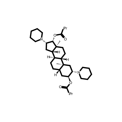 CC(C)C(=O)O[C@H]1C[C@@H]2CC[C@@H]3[C@H](CC[C@@]4(C)[C@H]3C[C@H](N3CCCCC3)[C@@H]4OC(=O)C(C)C)[C@@]2(C)C[C@@H]1N1CCCCC1